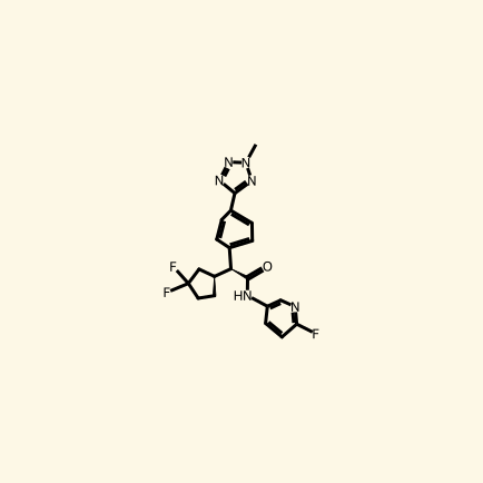 Cn1nnc(-c2ccc([C@@H](C(=O)Nc3ccc(F)nc3)[C@H]3CCC(F)(F)C3)cc2)n1